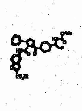 CCOC(=O)c1cc2cc(NC(=O)[C@@H]3[C@@H](c4ccccc4)CCN3C(=O)[C@H]3CC[C@H](C(CF)NC(=O)OC(C)(C)C)CC3)ccc2o1